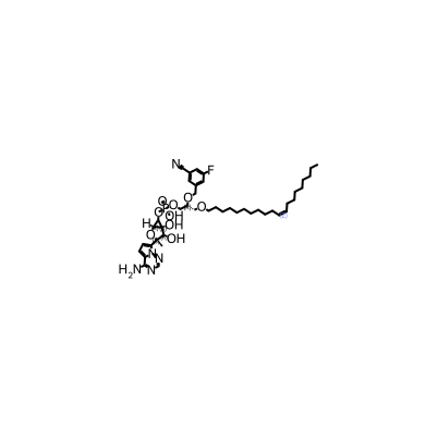 CCCCCCCC/C=C\CCCCCCCCCCOC[C@H](COP(=O)(O)OC1[C@H]2O[C@@](C)(c3ccc4c(N)ncnn34)[C@H](O)[C@@]12O)OCc1cc(F)cc(C#N)c1